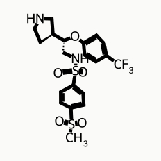 CS(=O)(=O)c1ccc(S(=O)(=O)NC[C@@H](Oc2ccc(C(F)(F)F)cc2)[C@H]2CCNC2)cc1